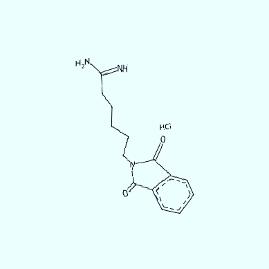 Cl.N=C(N)CCCCCN1C(=O)c2ccccc2C1=O